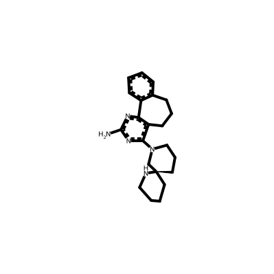 Nc1nc2c(c(N3CCC[C@]4(CCCCN4)C3)n1)CCCc1ccccc1-2